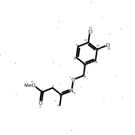 COC(=O)CC(C)=NOCc1ccc(Cl)c(Cl)c1